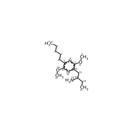 CCCCCc1nc(OC)c(CC(N)CC)nc1OC